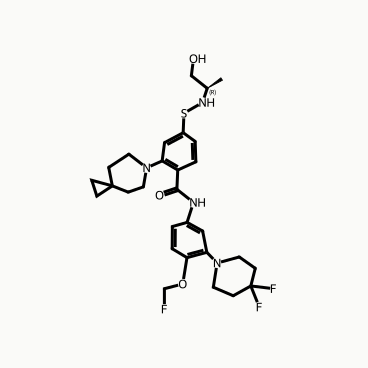 C[C@H](CO)NSc1ccc(C(=O)Nc2ccc(OCF)c(N3CCC(F)(F)CC3)c2)c(N2CCC3(CC2)CC3)c1